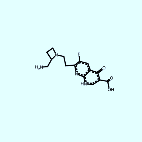 NCC1CCN1CCc1nc2[nH]cc(C(=O)O)c(=O)c2cc1F